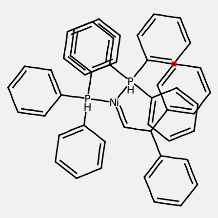 [CH](C(c1ccccc1)c1ccccc1)=[Ni]([PH](c1ccccc1)(c1ccccc1)c1ccccc1)[PH](c1ccccc1)(c1ccccc1)c1ccccc1